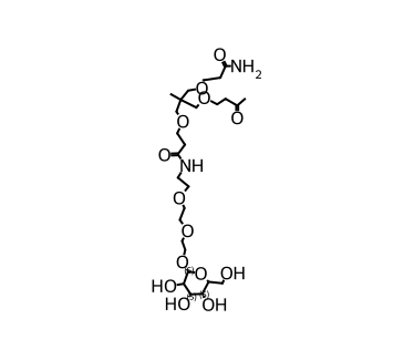 CC(=O)CCOCC(C)(COCCC(N)=O)COCCC(=O)NCCOCCOCCO[C@H]1OC(CO)[C@@H](O)[C@H](O)C1O